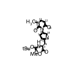 COC(=O)[C@H](Cc1ccc(-n2c(=O)ccn(C)c2=O)cn1)NC(=O)OC(C)(C)C